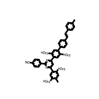 CCCCCCCCc1cc(-c2cc(-c3cc(CCCCCCCC)c(-c4ccc(/C=C/c5ccc(C)cc5)cc4)cc3CCCCCCCC)nc(-c3ccc(C#N)cc3)n2)c(CCCCCCCC)cc1C